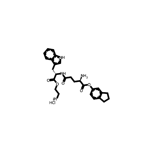 CC(C)CCOC(=O)[C@H](Cc1c[nH]c2ccccc12)NC(=O)CC[C@@H](N)C(=O)Oc1ccc2c(c1)CCC2.Cl